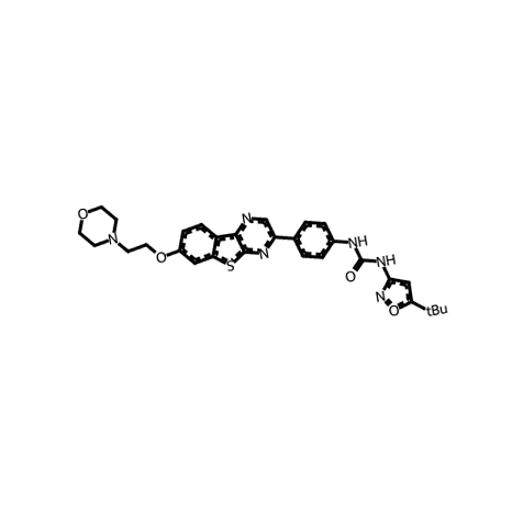 CC(C)(C)c1cc(NC(=O)Nc2ccc(-c3cnc4c(n3)sc3cc(OCCN5CCOCC5)ccc34)cc2)no1